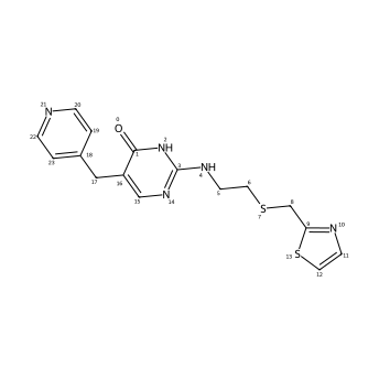 O=c1[nH]c(NCCSCc2nccs2)ncc1Cc1ccncc1